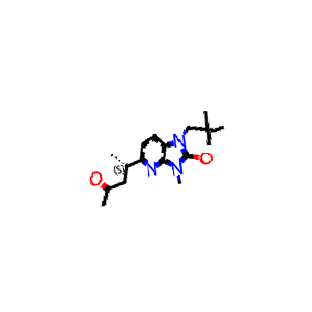 CC(=O)C[C@H](C)c1ccc2c(n1)n(C)c(=O)n2CC(C)(C)C